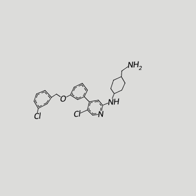 NCC1CCC(Nc2cc(-c3cccc(OCc4cccc(Cl)c4)c3)c(Cl)cn2)CC1